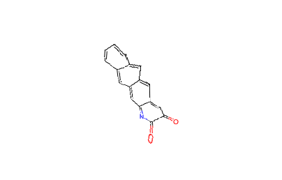 O=C1C=c2cc3cc4ccccc4cc3cc2=NC1=O